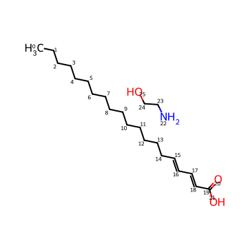 CCCCCCCCCCCCCCCC=CC=CC(=O)O.NCCO